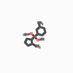 CCCO[Si](OCC)(C1CCCC(C)C1)C1CCCC1C